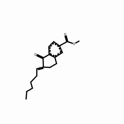 CCCCC/C=C1\CCc2cc(C(=O)OC)ccc2C1=O